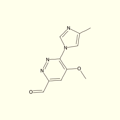 COc1cc(C=O)nnc1-n1cnc(C)c1